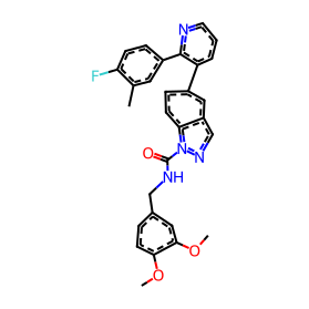 COc1ccc(CNC(=O)n2ncc3cc(-c4cccnc4-c4ccc(F)c(C)c4)ccc32)cc1OC